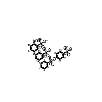 O=S(=O)([O-])c1ccccc1.O=S(=O)([O-])c1ccccc1.O=S(=O)([O-])c1ccccc1.O=S(=O)([O-])c1ccccc1.[Sn+4]